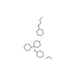 CCCC[C@H]1CC[C@H](C[C@H]2CC[C@](C[C@H]3CC[C@H](CCC)CC3)(C3CCCCC3)CC2)CC1